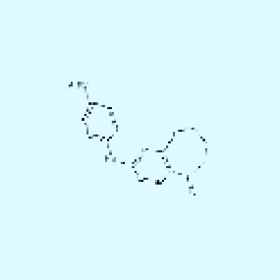 COc1ccc(Nc2ncc3c(n2)CCCCC3=O)cc1